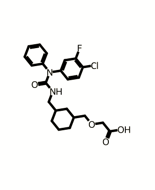 O=C(O)COCC1CCCC(CNC(=O)N(c2ccccc2)c2ccc(Cl)c(F)c2)C1